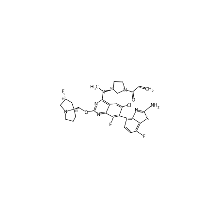 C=CC(=O)N1CC[C@H](N(C)c2nc(OC[C@@]34CCCN3C[C@H](F)C4)nc3c(F)c(-c4ccc(F)c5sc(N)nc45)c(Cl)cc23)C1